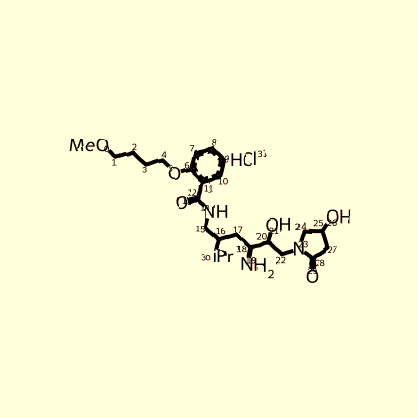 COCCCCOc1ccccc1C(=O)NCC(CC(N)C(O)CN1CC(O)CC1=O)C(C)C.Cl